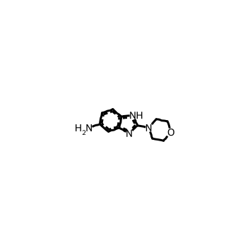 Nc1ccc2[nH]c(N3CCOCC3)nc2c1